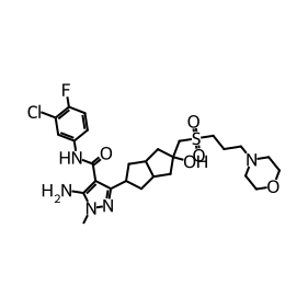 Cn1nc(C2CC3CC(O)(CS(=O)(=O)CCCN4CCOCC4)CC3C2)c(C(=O)Nc2ccc(F)c(Cl)c2)c1N